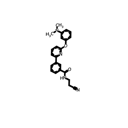 CN(C)c1cccc(Oc2cccc(-c3cccc(C(=O)NCCC#N)c3)n2)c1